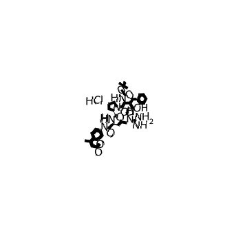 Cc1cc(=O)oc2cc(NC(=O)[C@H](CCCNC(=N)N)NC(=O)[C@@H]3CCCN3C(=O)[C@@H](NC(=O)OC(C)(C)C)C(Cc3ccccc3)C(=O)O)ccc12.Cl